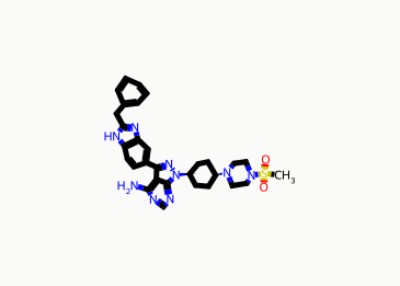 CS(=O)(=O)N1CCN([C@H]2CC[C@H](n3nc(-c4ccc5[nH]c(Cc6ccccc6)nc5c4)c4c(N)ncnc43)CC2)CC1